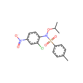 Cc1ccc(S(=O)(=O)N(OC(C)C)c2ccc([N+](=O)[O-])cc2Cl)cc1